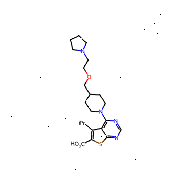 CC(C)c1c(C(=O)O)sc2ncnc(N3CCC(COCCN4CCCC4)CC3)c12